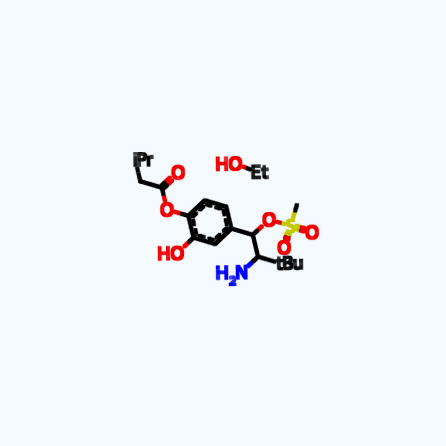 CC(C)CC(=O)Oc1ccc(C(OS(C)(=O)=O)C(N)C(C)(C)C)cc1O.CCO